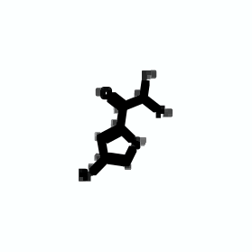 O=C(c1cc(Br)cs1)C(F)F